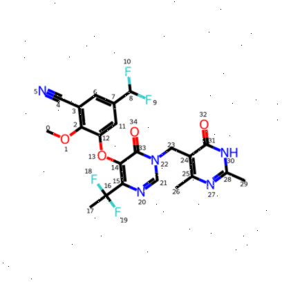 COc1c(C#N)cc(C(F)F)cc1Oc1c(C(C)(F)F)ncn(Cc2c(C)nc(C)[nH]c2=O)c1=O